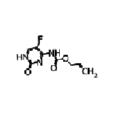 C=CCOC(=O)Nc1nc(=O)[nH]cc1F